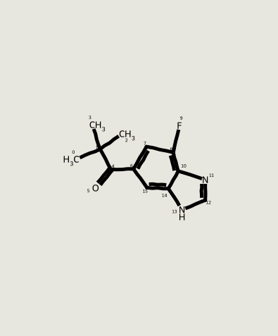 CC(C)(C)C(=O)c1cc(F)c2nc[nH]c2c1